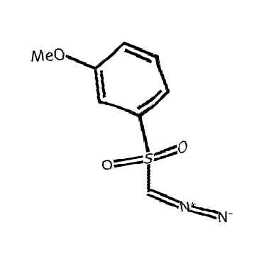 COc1cccc(S(=O)(=O)C=[N+]=[N-])c1